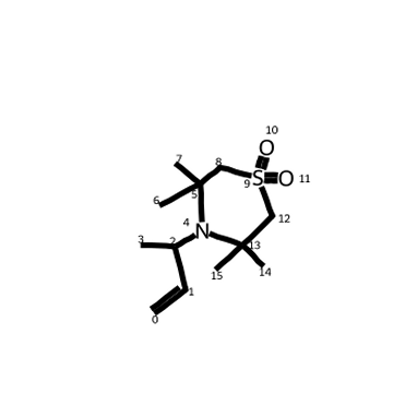 C=CC(C)N1C(C)(C)CS(=O)(=O)CC1(C)C